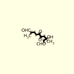 CC([C]=O)CCC(=O)C(=O)CC(C)(O)C[C]=O